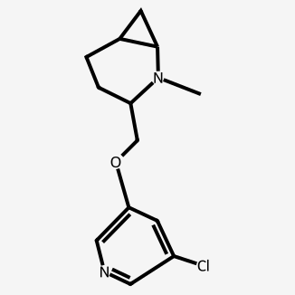 CN1C(COc2cncc(Cl)c2)CCC2CC21